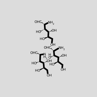 N[C@@H](C=O)[C@@H](O)[C@H](O)[C@H](O)CO.N[C@@H](C=O)[C@@H](O)[C@H](O)[C@H](O)CO.N[C@@H](C=O)[C@@H](O)[C@H](O)[C@H](O)CO